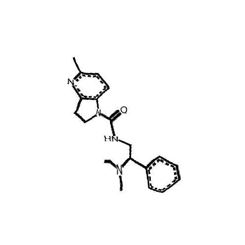 Cc1ccc2c(n1)CCN2C(=O)NCC(c1ccccc1)N(C)C